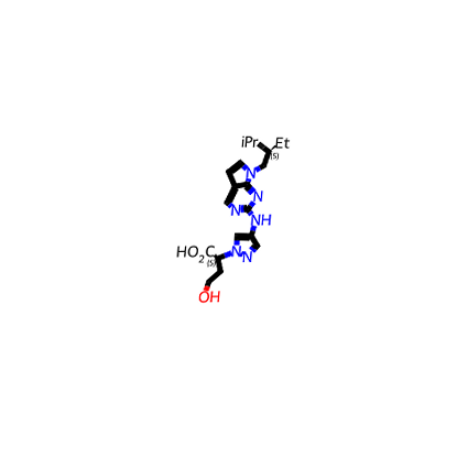 CC[C@H](Cn1ccc2cnc(Nc3cnn([C@@H](CCO)C(=O)O)c3)nc21)C(C)C